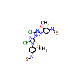 COc1cc(N=C=S)ccc1N1CN(c2cn(-c3ccc(N=C=S)cc3OC)c(Cl)n2)C(Cl)=N1